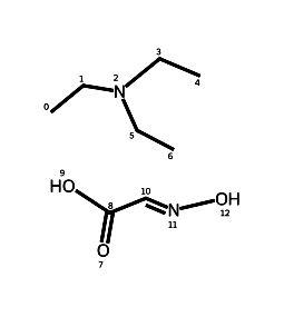 CCN(CC)CC.O=C(O)C=NO